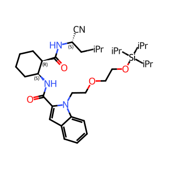 CC(C)C[C@@H](C#N)NC(=O)[C@@H]1CCCC[C@@H]1NC(=O)c1cc2ccccc2n1CCOCCO[Si](C(C)C)(C(C)C)C(C)C